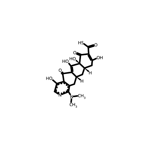 CN(C)c1ncc(O)c2c1C[C@H]1C[C@H]3CC(O)=C(C(=O)S)C(=O)[C@@]3(O)C(O)=C1C2=O